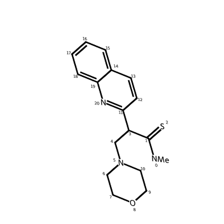 CNC(=S)C(CN1CCOCC1)c1ccc2ccccc2n1